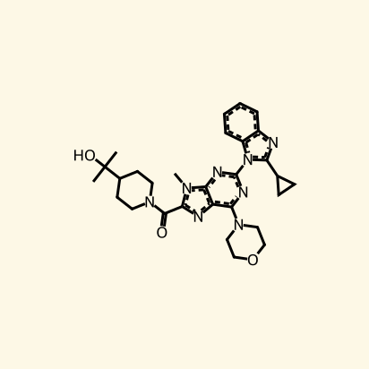 Cn1c(C(=O)N2CCC(C(C)(C)O)CC2)nc2c(N3CCOCC3)nc(-n3c(C4CC4)nc4ccccc43)nc21